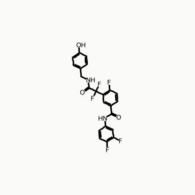 O=C(Nc1ccc(F)c(F)c1)c1ccc(F)c(C(F)(F)C(=O)NCc2ccc(O)cc2)c1